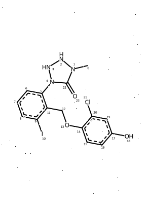 CN1NNN(c2cccc(I)c2COc2ccc(O)cc2Cl)C1=O